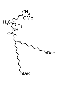 CCCCCCCCCCCCCCCCCCCC(COC(=O)NCC(C)(C)OC/C=C(/C)OC)SCCCCCCCCCCCCCCCCCC